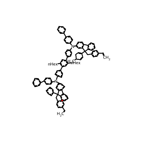 C=Cc1ccc(CC2(C3=CCC(C)C=C3)c3ccccc3-c3ccc(N(c4ccc(-c5ccccc5)cc4)c4ccc(-c5cc(CCCCCC)c(-c6ccc(N(c7ccc(-c8ccccc8)cc7)c7ccc8c(c7)C(Cc7ccc(C=C)cc7)(c7ccccc7)c7ccccc7-8)cc6)cc5CCCCCC)cc4)cc32)cc1